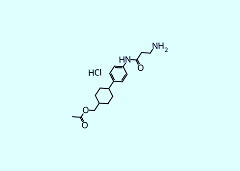 CC(=O)OCC1CCC(c2ccc(NC(=O)CCN)cc2)CC1.Cl